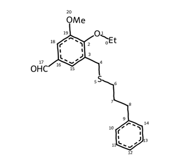 CCOc1c(CSCCCc2ccccc2)cc(C=O)cc1OC